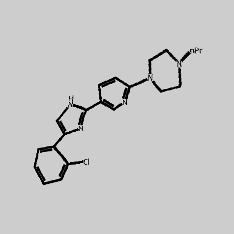 CCCN1CCN(c2ccc(-c3nc(-c4ccccc4Cl)c[nH]3)cn2)CC1